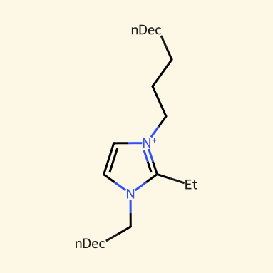 CCCCCCCCCCCCC[n+]1ccn(CCCCCCCCCCC)c1CC